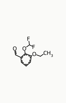 CCOc1cccc(C=O)c1OC(F)F